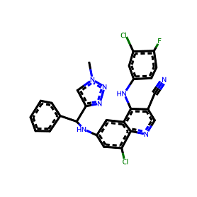 Cn1cc(C(Nc2cc(Cl)c3ncc(C#N)c(Nc4ccc(F)c(Cl)c4)c3c2)c2ccccc2)nn1